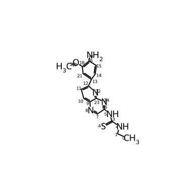 CCNC(=S)Nc1cnc2ccc(-c3ccc(N)c(OC)c3)nc2n1